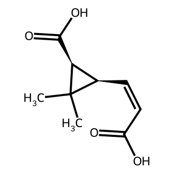 CC1(C)[C@H](/C=C\C(=O)O)[C@@H]1C(=O)O